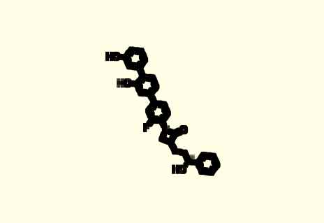 O=C1C(CC[C@H](O)c2ccccc2)CN1c1ccc(-c2ccc(-c3cccc(O)c3)c(O)c2)cc1F